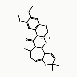 COc1cc2c(cc1OC)C1C(=O)C3C(C)CC=C4OC(C)(C)C=CC4C3O[C@@H]1CO2